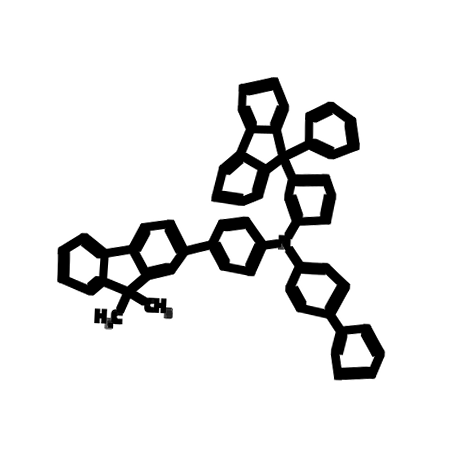 CC1(C)c2ccccc2-c2ccc(-c3ccc(N(c4ccc(-c5ccccc5)cc4)c4cccc(C5(c6ccccc6)c6ccccc6-c6ccccc65)c4)cc3)cc21